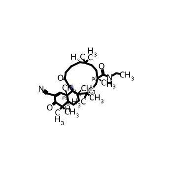 CCNC(=O)[C@@]1(C)CCC(C)(C)CCCC(=O)/C=C2/[C@@]3(C)C=C(C#N)C(=O)C(C)(C)[C@@H]3CC[C@@]2(C)C(C)(C)CC1